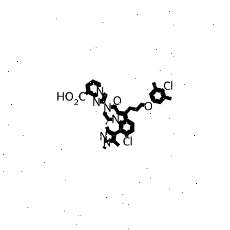 Cc1cc(OCCCc2c3n(c4c(-c5c(C)nn(C)c5C)c(Cl)ccc24)[C@H](C)CN(c2cn4cccc(C(=O)O)c4n2)C3=O)cc(C)c1Cl